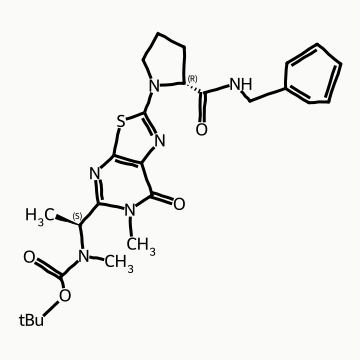 C[C@@H](c1nc2sc(N3CCC[C@@H]3C(=O)NCc3ccccc3)nc2c(=O)n1C)N(C)C(=O)OC(C)(C)C